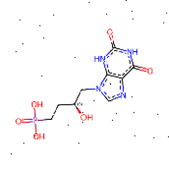 O=c1[nH]c(=O)c2ncn(C[C@@H](O)CCP(=O)(O)O)c2[nH]1